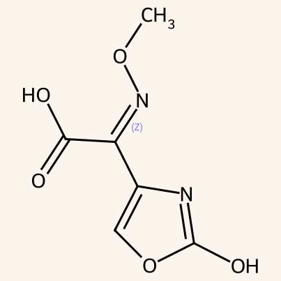 CO/N=C(\C(=O)O)c1coc(O)n1